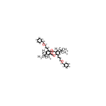 CC(C)(C)c1cc(C=CCOCc2ccccc2)c2c(c1)C1Oc3c(C=CCOCc4ccccc4)cc(C(C)(C)C)cc3C(O2)O1